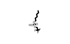 CCCCCCOP(=O)(O)OCC(F)(F)F